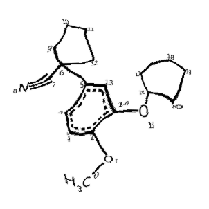 COc1ccc(C2(C#N)CCCC2)cc1OC1CCCC1